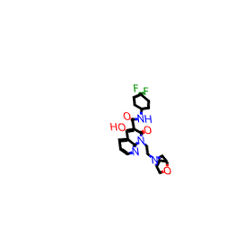 O=C(NC1CCC(F)(F)CC1)c1c(O)c2cccnc2n(CCN2CC3CC2CO3)c1=O